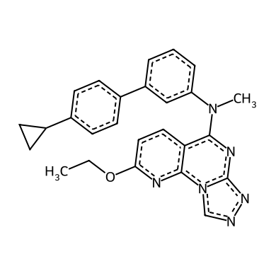 CCOc1ccc2c(N(C)c3cccc(-c4ccc(C5CC5)cc4)c3)nc3nncn3c2n1